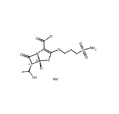 CC(O)[C@H]1C(=O)N2C(C(=O)[O-])=C(SCCCS(N)(=O)=O)S[C@H]12.[Na+]